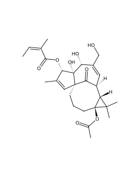 C/C=C(/C)C(=O)O[C@H]1C(C)=C[C@@]23CCC[C@]4(OC(C)=O)[C@H]([C@H](C=C(CO)[C@@H](O)[C@]12O)C3=O)C4(C)C